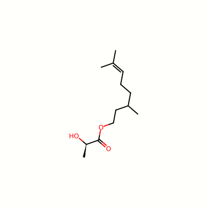 CC(C)=CCCC(C)CCOC(=O)[C@@H](C)O